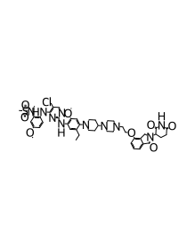 CCc1cc(Nc2ncc(Cl)c(Nc3ccc(OC)cc3N(C)S(C)(=O)=O)n2)c(OC)cc1N1CCC(N2CCN(CCOc3cccc4c3CN(C3CCC(=O)NC3=O)C4=O)CC2)CC1